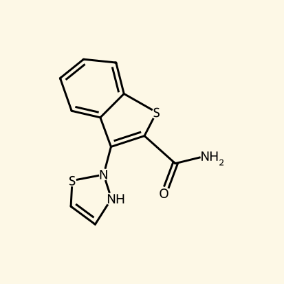 NC(=O)c1sc2ccccc2c1N1NC=CS1